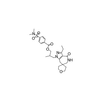 CCc1nn(CC(C)COC(=O)c2ccc(S(=O)(=O)N(C)C)cc2)c2c1C(=O)NCC1(CCOCC1)C2